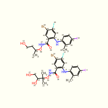 Cc1cc(I)ccc1Nc1cc(F)c(Br)cc1C(=O)NOC(C)(C)C(O)CO.Cc1cc(I)ccc1Nc1cc(F)c(Br)cc1C(=O)NOC(C)CCO